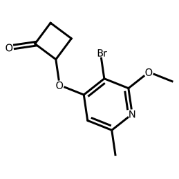 COc1nc(C)cc(OC2CCC2=O)c1Br